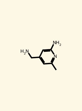 Cc1cc(CN)cc(N)n1